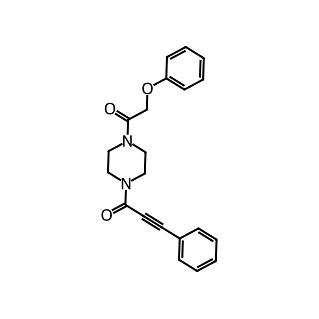 O=C(C#Cc1ccccc1)N1CCN(C(=O)COc2ccccc2)CC1